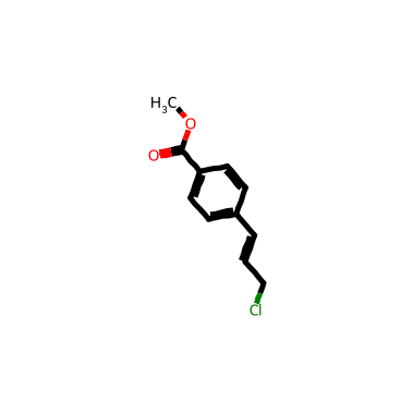 COC(=O)c1ccc(C=CCCl)cc1